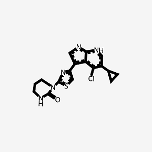 O=C1NCCCN1c1nc(-c2cnc3[nH]cc(C4CC4)c(Cl)c2-3)cs1